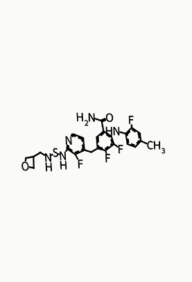 Cc1ccc(Nc2c(C(N)=O)cc(Cc3ccnc(NSNCC4COC4)c3F)c(F)c2F)c(F)c1